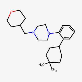 CC1(C)CCC(c2ccccc2N2CCN(CC3CCOCC3)CC2)CC1